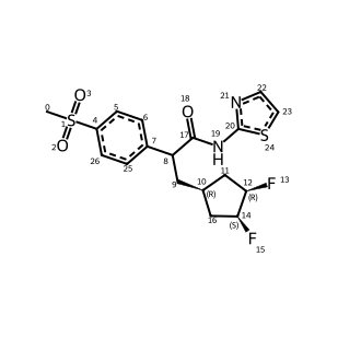 CS(=O)(=O)c1ccc(C(C[C@H]2C[C@@H](F)[C@@H](F)C2)C(=O)Nc2nccs2)cc1